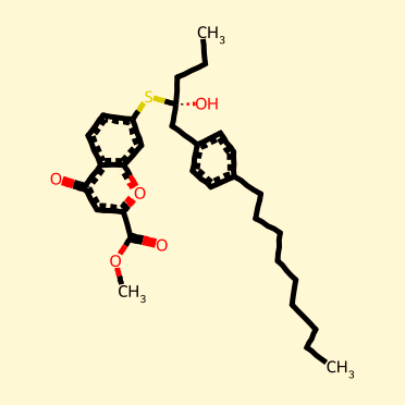 CCCCCCCCCc1ccc(C[C@](O)(CCC)Sc2ccc3c(=O)cc(C(=O)OC)oc3c2)cc1